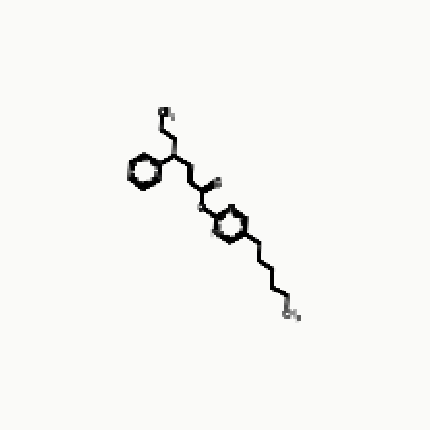 CCCCCCc1cnc(OC(=O)/C=C/C(CCC)c2ccccc2)nc1